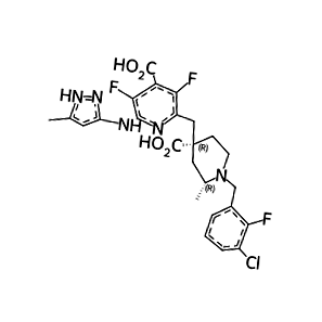 Cc1cc(Nc2nc(C[C@@]3(C(=O)O)CCN(Cc4cccc(Cl)c4F)[C@H](C)C3)c(F)c(C(=O)O)c2F)n[nH]1